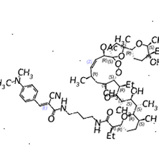 CC[C@@H](C(=O)[C@@H](C)[C@@H](O)[C@H](C)[C@@H]1O[C@@H]([C@@H](CC)C(=O)NCCCCNC(=O)/C(C#N)=C/c2ccc(N(C)C)cc2)CC[C@@H]1C)[C@H]1OO[C@@]2(CC[C@@](C)([C@H]3CC[C@](O)(CC)[C@H](C)O3)O2)[C@H](OC(C)=O)/C=C\[C@H](C)C[C@@H]1C